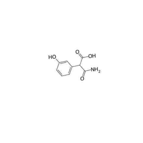 NC(=O)C(C(=O)O)c1cccc(O)c1